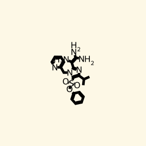 CC(C)c1nc(C(N)=C(N)N)n(Cc2ccccn2)c1S(=O)(=O)Oc1ccccc1